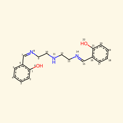 Oc1ccccc1/C=N\CCNCC/N=C/c1ccccc1O